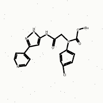 CC(C)(C)OC(=O)N(CC(=O)Nc1cc(-c2ccncc2)n[nH]1)c1ccc(Cl)cc1